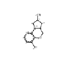 CC(C)c1ccnc2c1OCC1CC(C#N)CN21